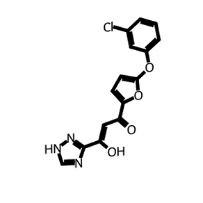 O=C(C=C(O)c1nc[nH]n1)c1ccc(Oc2cccc(Cl)c2)o1